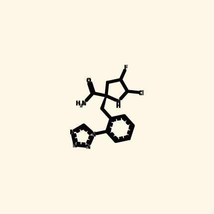 NC(=O)[C@]1(Cc2ccccc2-n2cnnn2)CC(F)C(Cl)N1